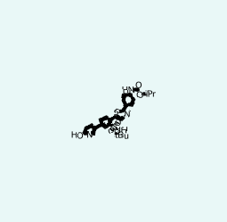 CC(C)OC(=O)NC1CCC(c2ncc(-c3ccc(-c4ccc(O)nc4)cc3S(=O)(=O)NC(C)(C)C)s2)CC1